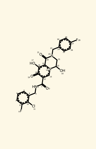 O=C(NCc1cccc(F)c1Cl)c1cn2c(c(O)c1=O)C(=O)N(Cc1ccc(F)cc1)CC2O